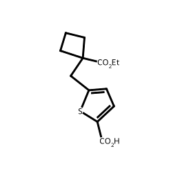 CCOC(=O)C1(Cc2ccc(C(=O)O)s2)CCC1